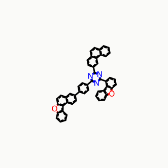 c1ccc2c(c1)ccc1ccc(-c3nc(-c4ccc(-c5ccc6c(ccc7oc8ccccc8c76)c5)cc4)nc(-c4cccc5oc6ccccc6c45)n3)cc12